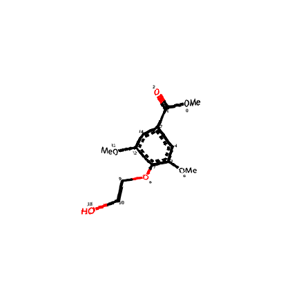 COC(=O)c1cc(OC)c(OCCO)c(OC)c1